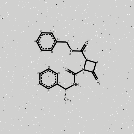 C[C@@H](NC(=O)N1C(=O)CC1C(=O)OCc1ccccc1)c1ccccc1